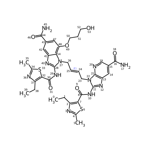 CCc1nc(C)sc1C(=O)Nc1nc2cc(C(N)=O)cnc2n1C/C=C/Cn1c(NC(=O)c2sc(C)nc2CC)nc2cc(C(N)=O)cc(OCCCO)c21